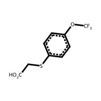 O=C(O)CSc1ccc(OC(F)(F)F)cc1